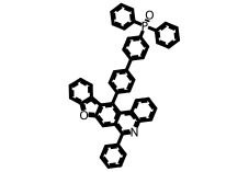 O=P(c1ccccc1)(c1ccccc1)c1ccc(-c2ccc(-c3c4c(cc5c(-c6ccccc6)nc6ccccc6c35)oc3ccccc34)cc2)cc1